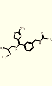 COC(N)CNC(=C1CSC(N)=N1)c1cccc(CNC(C)=O)c1